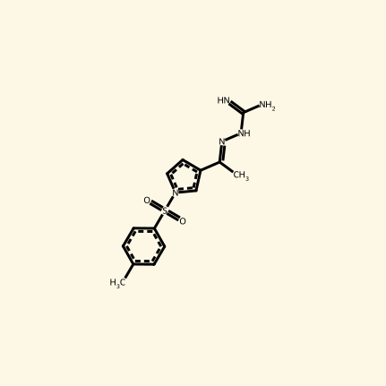 CC(=NNC(=N)N)c1ccn(S(=O)(=O)c2ccc(C)cc2)c1